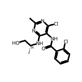 Cc1nc(Cl)c(NC(=O)c2ccccc2Cl)c(N[C@H](C)CO)n1